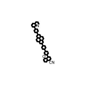 N#Cc1ccc2c3c(cccc13)Oc1cc(-c3ccc(-c4cc5ccc6cc(-c7ccc(-c8cccc9cccnc89)cc7)cc7ccc(c4)c5c67)cc3)ccc1-2